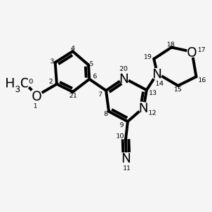 COc1cccc(-c2cc(C#N)nc(N3CCOCC3)n2)c1